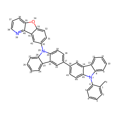 Cc1ccccc1-n1c2ccccc2c2cc(-c3ccc4c(c3)c3ccccc3n4-c3ccc4oc5cccnc5c4c3)ccc21